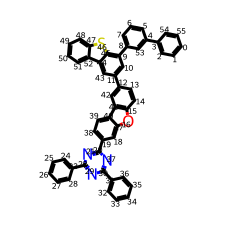 c1ccc(-c2cccc(-c3cc(-c4ccc5oc6cc(-c7nc(-c8ccccc8)nc(-c8ccccc8)n7)ccc6c5c4)cc4c3sc3ccccc34)c2)cc1